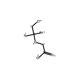 [2H]C([2H])(CCl)OCC(=O)Cl